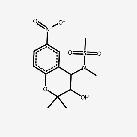 CN(C1c2cc([N+](=O)[O-])ccc2OC(C)(C)C1O)S(C)(=O)=O